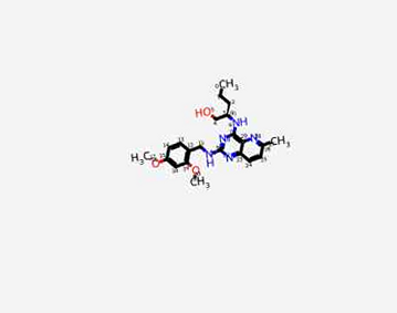 CCC[C@H](CO)Nc1nc(NCc2ccc(OC)cc2OC)nc2ccc(C)nc12